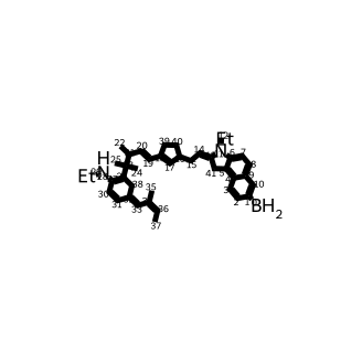 Bc1ccc2c3c(ccc2c1)N(CC)/C(=C/CC1C=C(/C=C/C(C)C(C)(C)C2=C(NCC)C=C/C(=C/C(C)=C\C)C2)CC1)C3